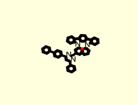 c1ccc(-c2ccc(-c3cc(-c4ccccc4)nc(-c4cccc(-n5c6ccccc6c6ccc7c8ccccc8n(-c8ccccc8)c7c65)c4)n3)cc2)cc1